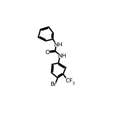 O=C(Nc1ccccc1)Nc1ccc(Br)c(C(F)(F)F)c1